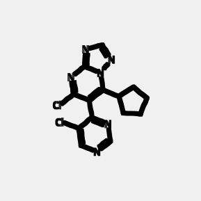 Clc1cncnc1-c1c(Cl)nc2ncnn2c1C1CCCC1